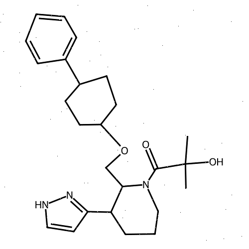 CC(C)(O)C(=O)N1CCCC(c2cc[nH]n2)C1COC1CCC(c2ccccc2)CC1